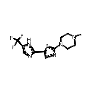 CN1CCN(c2ncc(-c3ncc(C(F)(F)F)[nH]3)s2)CC1